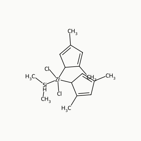 CC1=C[CH]([Zr]([Cl])([Cl])([CH]2C=C(C)C=C2C)[SiH](C)C)C(C)=C1